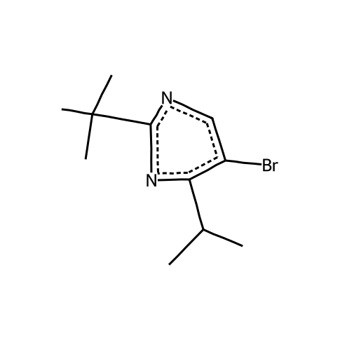 CC(C)c1nc(C(C)(C)C)ncc1Br